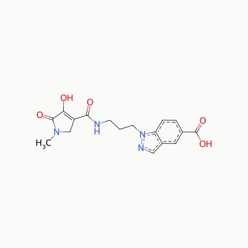 CN1CC(C(=O)NCCCn2ncc3cc(C(=O)O)ccc32)=C(O)C1=O